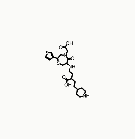 O=C(O)CN1CC(c2ccsc2)SCC(NCCC(CCC2CCNCC2)C(=O)O)C1=O